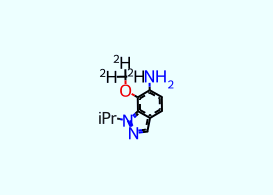 [2H]C([2H])([2H])Oc1c(N)ccc2cnn(C(C)C)c12